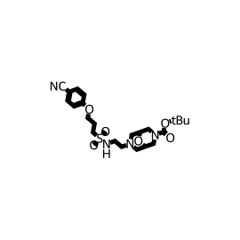 CC(C)(C)OC(=O)N1CC2CN(CCNS(=O)(=O)CCCOc3ccc(C#N)cc3)CC(C1)O2